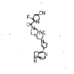 N#CCC(CN1CCN(C(=O)c2ncc(C#N)cc2F)CC1)n1ccc(-c2ncnc3[nH]ccc23)c1